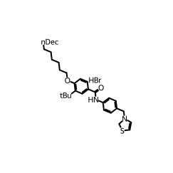 Br.CCCCCCCCCCCCCCCCOc1ccc(C(=O)Nc2ccc(CN3C=CSC3)cc2)cc1C(C)(C)C